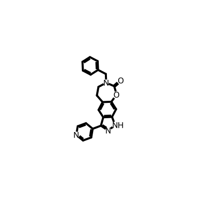 O=C1Oc2cc3[nH]nc(-c4ccncc4)c3cc2CCN1Cc1ccccc1